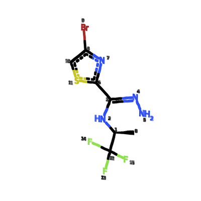 C[C@H](N/C(=N\N)c1nc(Br)cs1)C(F)(F)F